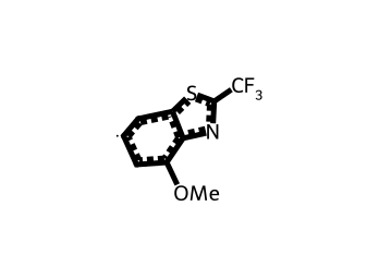 COc1c[c]cc2sc(C(F)(F)F)nc12